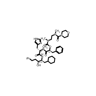 CC(C)CC[C@H](O)[C@H](CC1CCCCC1)NC(=O)[C@H](Cc1c[nH]cn1)N(C)C(=O)[C@H](Cc1ccccc1)OC(=O)N(C)CCN(C)C(=O)N1CCOCC1